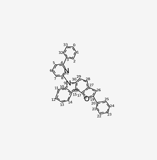 c1ccc(-c2cccc(-n3c4ccccc4c4c5oc(-c6ccccc6)cc5ccc43)n2)cc1